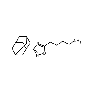 NCCC[CH]c1nc(C23CC4CC(CC(C4)C2)C3)no1